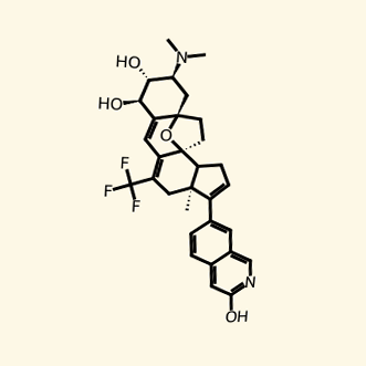 CN(C)[C@H]1C[C@@]23CC[C@@]4(O2)C(=C(C(F)(F)F)C[C@]2(C)C(c5ccc6cc(O)ncc6c5)=CCC24)C=C3[C@@H](O)[C@@H]1O